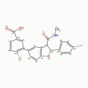 CNC(=O)C1c2cc(-c3cc(C(=O)O)ccc3Cl)ccc2OC1c1ccc(F)cc1